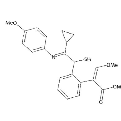 COC=C(C(=O)OC)c1ccccc1C(S)C(=Nc1ccc(OC)cc1)C1CC1